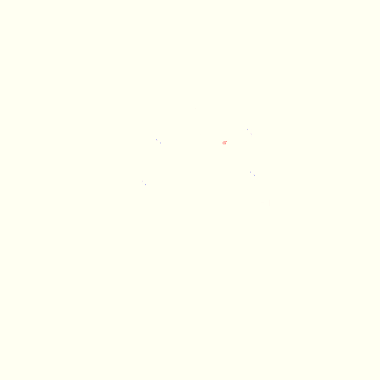 CCOc1nc(-c2cccc(Cl)c2)c2c(-c3cncn3C)c(C(O)c3ccc(I)cc3)ccc2n1